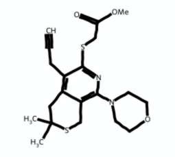 C#CCc1c(SCC(=O)OC)nc(N2CCOCC2)c2c1CC(C)(C)SC2